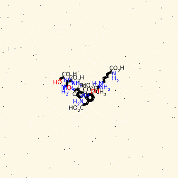 CC(C)C[C@H](N)C(=O)O.C[C@H](N)C(=O)O.NC(=O)C[C@H](N)C(=O)O.NCCCC[C@H](N)C(=O)O.N[C@@H](CO)C(=O)O.N[C@@H](Cc1ccc(O)cc1)C(=O)O.O=C(O)[C@@H]1CCCN1